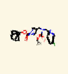 CC(C)(C)OC(=O)N(Cc1ccc(F)cn1)CC1CN(C(=O)OC2C3CC4CC(C3)CC2C4)C1